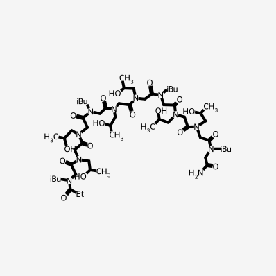 CCC(=O)N(CC(=O)N(CC(=O)N(CC(=O)N(CC(=O)N(CC(=O)N(CC(=O)N(CC(=O)N(CC(=O)N(CC(=O)N(CC(N)=O)C(C)CC)CC(C)O)CC(C)O)C(C)CC)CC(C)O)CC(C)O)C(C)CC)CC(C)O)CC(C)O)C(C)CC